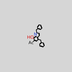 CC(=O)c1cc(Cc2ccccc2)c2ccc(Cc3ccccc3)nc2c1O